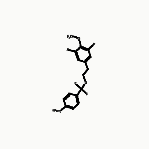 CCCCCc1ccc(C(F)(F)OCCc2cc(F)c(OC(F)(F)F)c(F)c2)cc1